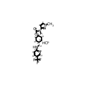 Cl.Cn1ccc(N2C[C@]3(CC[C@@H](CNc4ccc(C(F)(F)F)cn4)CC3)OC2=O)n1